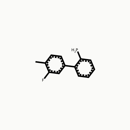 Cc1ccc(-c2ccccc2P)cc1F